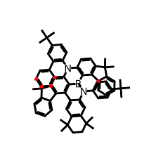 CC(C)(C)c1ccc(N2B3c4c(ccc5c4-c4ccccc4C5(C)C)N(c4ccc(C(C)(C)C)cc4-c4ccccc4)c4cc5c(c(c43)-c3cc4c(cc32)C(C)(C)CCC4(C)C)-c2ccccc2C5(C)C)cc1